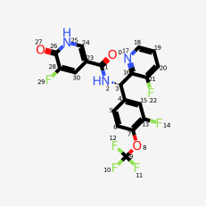 O=C(N[C@@H](c1ccc(OC(F)(F)F)c(F)c1)c1ncccc1F)c1c[nH]c(=O)c(F)c1